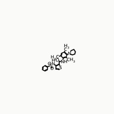 Cc1cc(C)c(N2CCCCC2)c(C)c1NC(=O)c1sccc1NS(=O)(=O)c1ccccc1